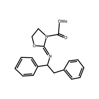 COC(=O)N1CCO/C1=N\C(Cc1ccccc1)c1ccccc1